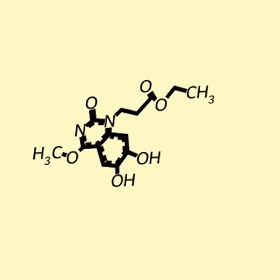 CCOC(=O)CCn1c(=O)nc(OC)c2cc(O)c(O)cc21